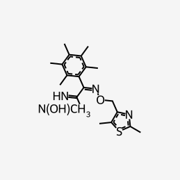 Cc1nc(CON=C(C(=N)N(C)O)c2c(C)c(C)c(C)c(C)c2C)c(C)s1